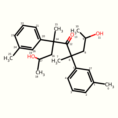 Cc1cccc(C(C)(CC(C)O)C(=O)C(C)(CC(C)O)c2cccc(C)c2)c1